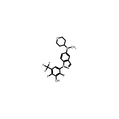 CN(c1ccc2c(cnn2-c2cc(C(F)(F)F)c(F)c(O)c2F)c1)C1CCOCC1